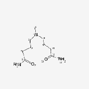 CN(CCCC(N)=O)CCCC(N)=O